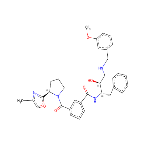 Cc1coc([C@H]2CCCN2C(=O)c2cccc(C(=O)N[C@@H](Cc3ccccc3)[C@@H](O)CNCc3cccc(OC(F)(F)F)c3)c2)n1